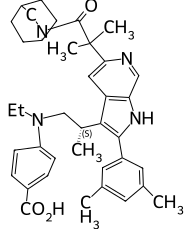 CCN(C[C@@H](C)c1c(-c2cc(C)cc(C)c2)[nH]c2cnc(C(C)(C)C(=O)N3CC4CCC3CC4)cc12)c1ccc(C(=O)O)cc1